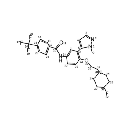 Cn1nccc1-c1cc(NC(=O)c2ccc(C(F)(F)F)cc2)ccc1OCCN1CCC(F)CC1